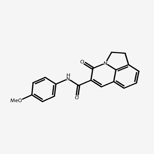 COc1ccc(NC(=O)c2cc3cccc4c3n(c2=O)CC4)cc1